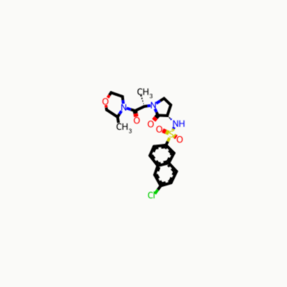 CC1COCCN1C(=O)[C@H](C)N1CC[C@H](NS(=O)(=O)c2ccc3cc(Cl)ccc3c2)C1=O